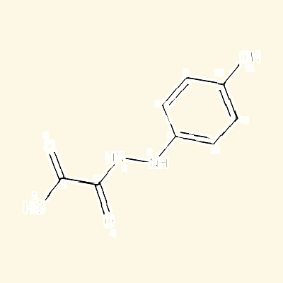 O=C(O)C(=O)NNc1ccc(O)cc1